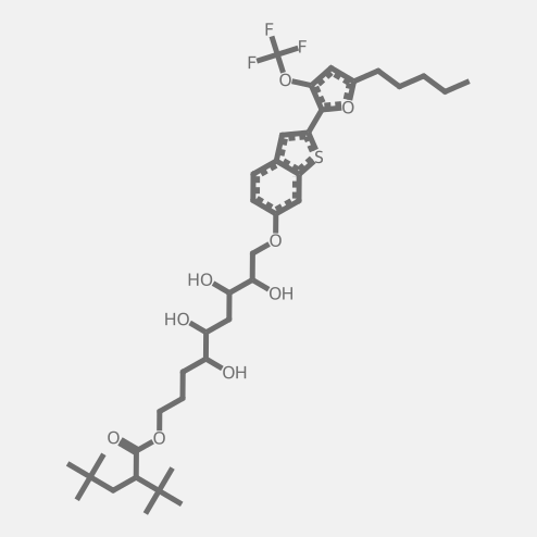 CCCCCc1cc(OC(F)(F)F)c(-c2cc3ccc(OCC(O)C(O)CC(O)C(O)CCCOC(=O)C(CC(C)(C)C)C(C)(C)C)cc3s2)o1